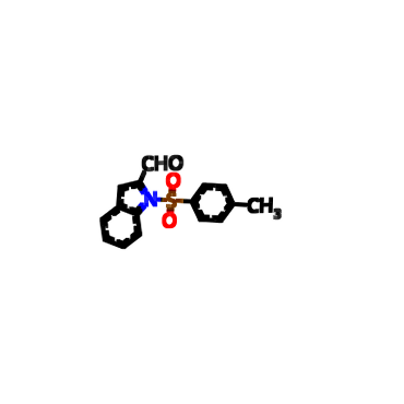 Cc1ccc(S(=O)(=O)n2c(C=O)cc3ccccc32)cc1